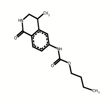 CCCCOC(=O)Nc1ccc2c(c1)C(C)CNC2=O